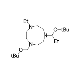 CCC(OC(C)(C)C)N1CCN(CC)CCN(COC(C)(C)C)CC1